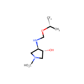 C[C@H](OCN[C@@H]1CN(C(=O)O)C[C@H]1O)C(F)(F)F